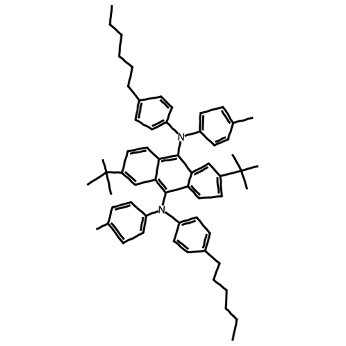 CCCCCCc1ccc(N(c2ccc(C)cc2)c2c3ccc(C(C)(C)C)cc3c(N(c3ccc(C)cc3)c3ccc(CCCCCC)cc3)c3ccc(C(C)(C)C)cc23)cc1